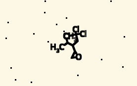 CC(C)C(CC(Cl)(Cl)Cl)C1CO1